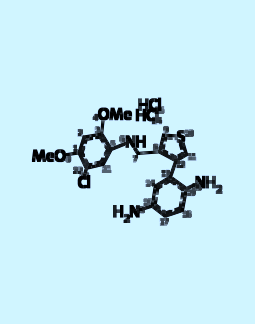 COc1cc(OC)c(NCc2cscc2-c2cc(N)ccc2N)cc1Cl.Cl.Cl